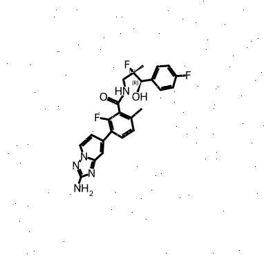 Cc1ccc(-c2ccn3nc(N)nc3c2)c(F)c1C(=O)NC[C@](C)(F)[C@H](O)c1ccc(F)cc1